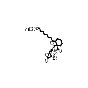 CCCCCCCCCCCCCCCCCCC1CCCC[C@]1(C(N)=O)C(=O)OC[C@H]1OC(=O)[C@H]1CC